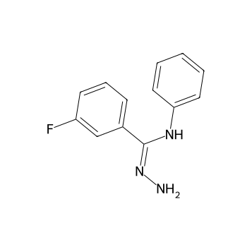 N/N=C(\Nc1ccccc1)c1cccc(F)c1